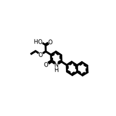 CCOC(C(=O)O)c1ccc(-c2ccc3ccccc3c2)[nH]c1=O